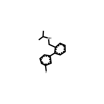 CC(C)NCc1ccccc1-c1cccc(F)c1